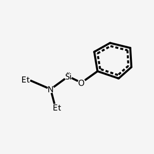 CCN(CC)[Si]Oc1ccccc1